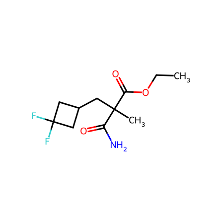 CCOC(=O)C(C)(CC1CC(F)(F)C1)C(N)=O